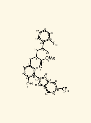 COC(=O)C(Cc1ccc(O)c(-n2nc3ccc(C(F)(F)F)cc3n2)c1)CC(C)c1ccccc1F